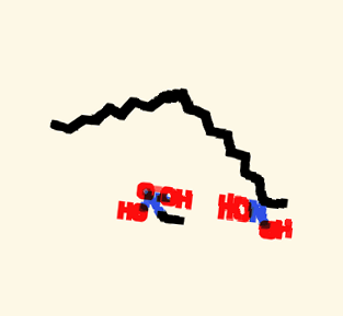 CCCCCCCC/C=C\CCCCCCCCC(C)N(O)O.CC[N+]([O-])(O)O